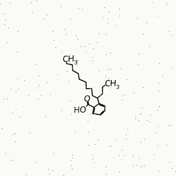 CCCCCCCCCCC(CCC)c1ccccc1C(=O)O